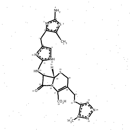 Cc1sc(N)nc1Cc1c[nH]c(NC2C(=O)N3C(C(=O)O)=C(CSc4nnnn4C)CS[C@@H]23)n1